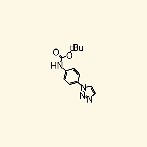 CC(C)(C)OC(=O)Nc1ccc(-n2ccnn2)cc1